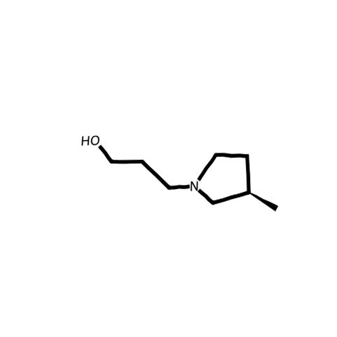 C[C@@H]1CCN(CCCO)C1